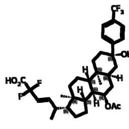 CC(=O)O[C@@H]1C[C@@H]2C[C@](O)(c3ccc(C(F)(F)F)cc3)CC[C@]2(C)[C@H]2CC[C@]3(C)[C@@H](C(C)C=CC(F)(F)C(=O)O)CC[C@H]3[C@H]12